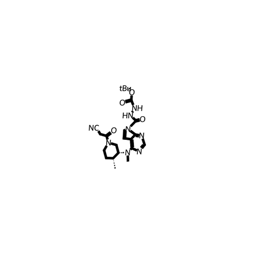 C[C@@H]1CCN(C(=O)CC#N)C[C@@H]1N(C)c1ncnc2c1ccn2C(=O)NNC(=O)OC(C)(C)C